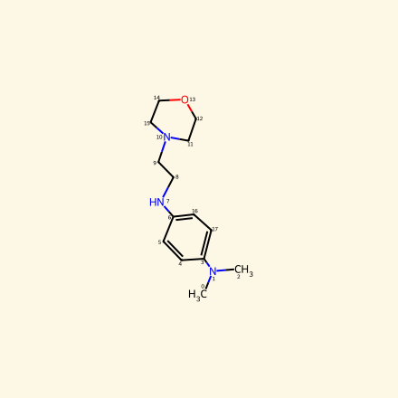 CN(C)c1ccc(NCCN2CCOCC2)cc1